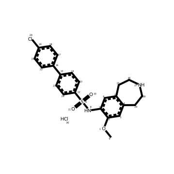 COc1cc2c(cc1NS(=O)(=O)c1ccc(-c3ccc(Cl)cc3)cc1)CCNCC2.Cl